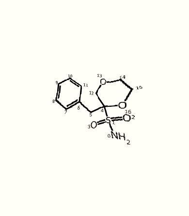 NS(=O)(=O)C1(Cc2ccccc2)COCCO1